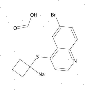 O=CO.[Na][C]1(Sc2ccnc3ccc(Br)cc23)CCC1